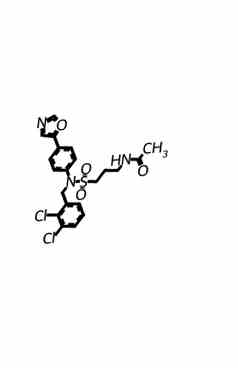 CC(=O)NCCCS(=O)(=O)N(Cc1cccc(Cl)c1Cl)c1ccc(-c2cnco2)cc1